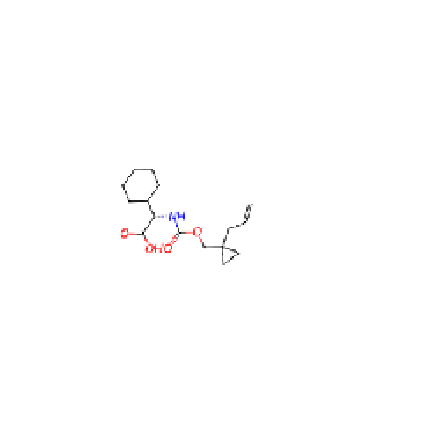 C=CCC1(COC(=O)N[C@H](C(=O)O)C2CCCCC2)CC1